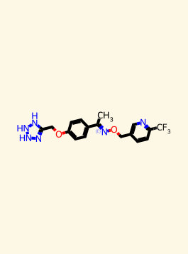 C/C(=N\OCc1ccc(C(F)(F)F)nc1)c1ccc(OCC2=NNNN2)cc1